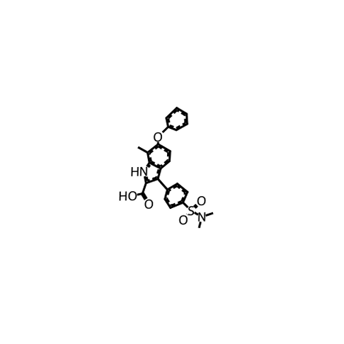 Cc1c(Oc2ccccc2)ccc2c(-c3ccc(S(=O)(=O)N(C)C)cc3)c(C(=O)O)[nH]c12